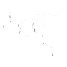 CCCCc1ccc(C(=O)Cl)cc1S(=O)(=O)C=S=O